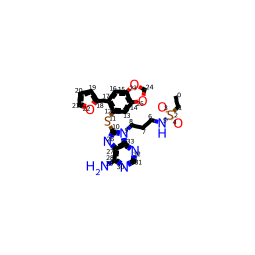 CCS(=O)(=O)NCCCn1c(Sc2cc3c(cc2-c2ccco2)OCO3)nc2c(N)ncnc21